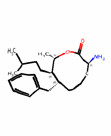 CC(C)CC[C@@H]1[C@@H](Cc2ccccc2)CCC[C@H](N)C(=O)O[C@H]1C